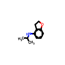 CC(C)Nc1cccc2c1CCO2